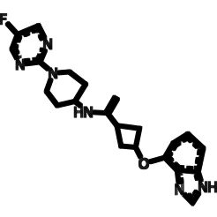 C=C(NC1CCN(c2ncc(F)cn2)CC1)C1CC(Oc2cccc3[nH]cnc23)C1